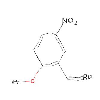 CC(C)Oc1ccc([N+](=O)[O-])cc1[CH]=[Ru]